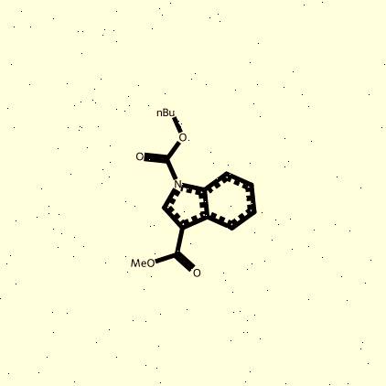 CCCCOC(=O)n1cc(C(=O)OC)c2ccccc21